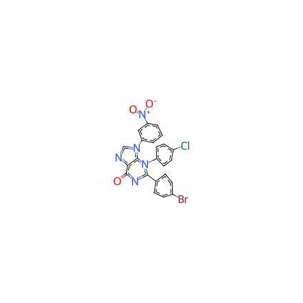 O=c1nc(-c2ccc(Br)cc2)n(-c2ccc(Cl)cc2)c2c1ncn2-c1cccc([N+](=O)[O-])c1